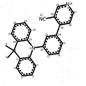 CC1(C)c2ccccc2N(c2cccc(-c3ccncc3C#N)c2)c2ccccc21